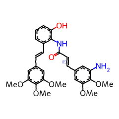 COc1cc(/C=C/C(=O)Nc2c(O)cccc2C=Cc2cc(OC)c(OC)c(OC)c2)cc(N)c1OC